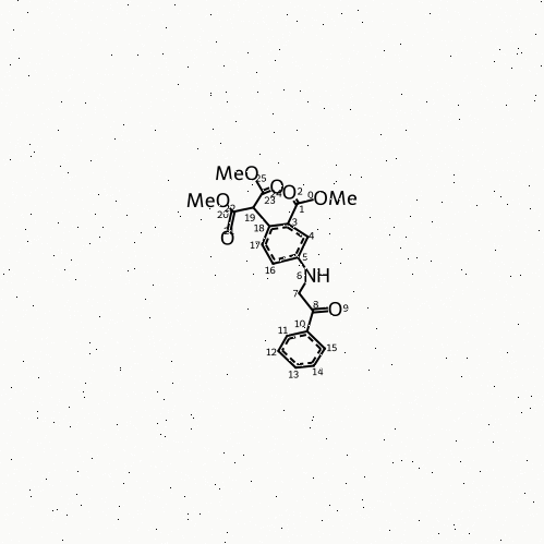 COC(=O)c1cc(NCC(=O)c2ccccc2)ccc1C(C(=O)OC)C(=O)OC